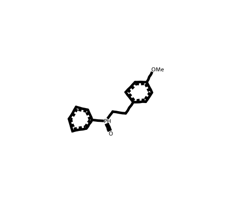 COc1ccc(CC[PH](=O)c2ccccc2)cc1